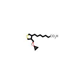 O=C(O)CCCCCCC1CSCC1COC1CC1